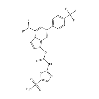 NS(=O)(=O)c1cnc(NC(=O)Oc2cnn3c(C(F)F)cc(-c4ccc(C(F)(F)F)cc4)nc23)s1